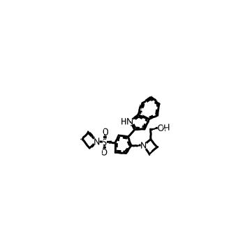 O=S(=O)(c1ccc(N2CCC2CO)c(-c2cc3ccccc3[nH]2)c1)N1CCC1